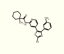 CCc1nc(-c2cccc(C)c2)c(-c2ccnc(NC(=O)C3(C)CCCCC3)c2)s1